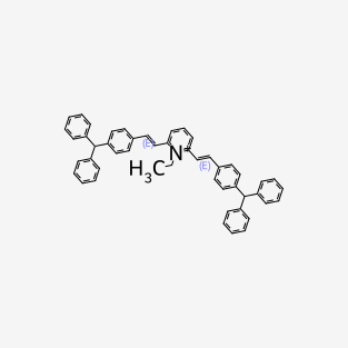 CC[n+]1c(/C=C/c2ccc(C(c3ccccc3)c3ccccc3)cc2)cccc1/C=C/c1ccc(C(c2ccccc2)c2ccccc2)cc1